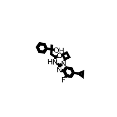 CC(O)(CC(=O)Nc1nc2c(F)cc(C3CC3)cc2n1C1CCC1)c1ccccc1